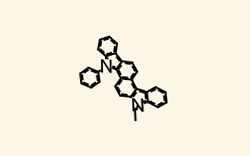 In1c2ccccc2c2c3ccc4c5ccccc5n(-c5ccccc5)c4c3ccc21